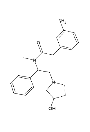 CN(C(=O)Cc1cccc(N)c1)C(CN1CCC(O)C1)c1ccccc1